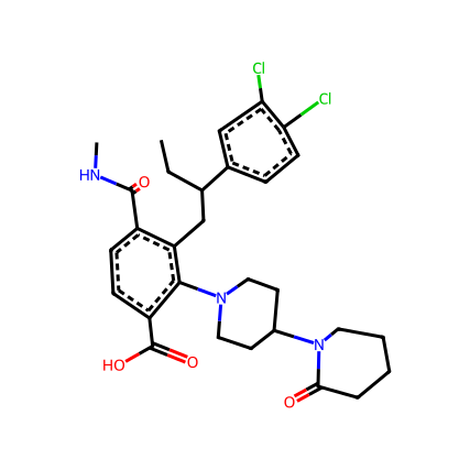 CCC(Cc1c(C(=O)NC)ccc(C(=O)O)c1N1CCC(N2CCCCC2=O)CC1)c1ccc(Cl)c(Cl)c1